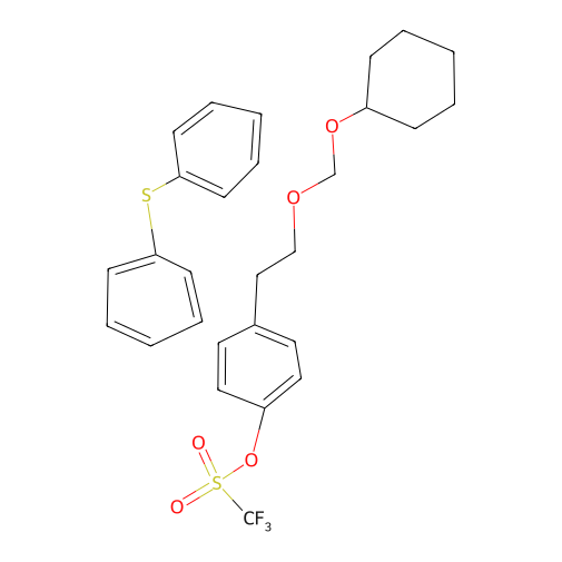 O=S(=O)(Oc1ccc(CCOCOC2CCCCC2)cc1)C(F)(F)F.c1ccc(Sc2ccccc2)cc1